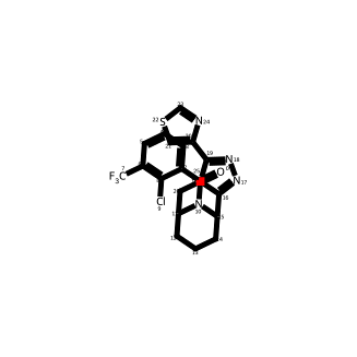 O=C(c1cccc(C(F)(F)F)c1Cl)N1C2CCCC1c1nnc(-c3cscn3)n1C2